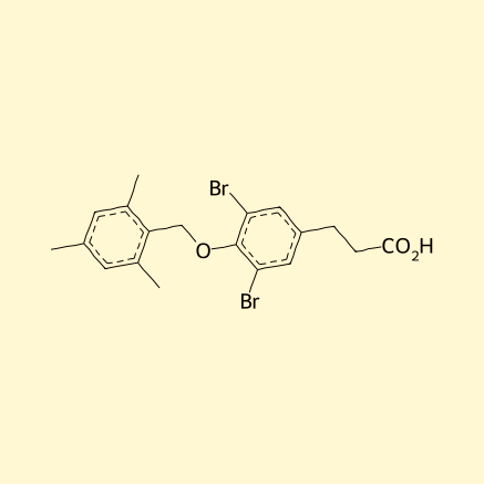 Cc1cc(C)c(COc2c(Br)cc(CCC(=O)O)cc2Br)c(C)c1